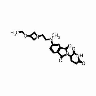 CCOC1CN(CCN(C)c2ccc3c(c2)C(=O)N(C2CCC(=O)NC2=O)C3=O)C1